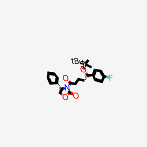 CC(C)(C)[Si](C)(C)O[C@@H](CCCC(=O)N1C(=O)OC[C@@H]1c1ccccc1)c1ccc(F)cc1